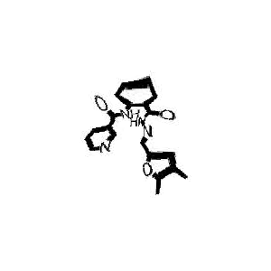 Cc1cc(C=NNC(=O)c2ccccc2NC(=O)c2cccnc2)oc1C